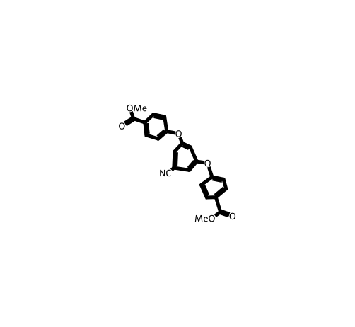 COC(=O)c1ccc(Oc2cc(C#N)cc(Oc3ccc(C(=O)OC)cc3)c2)cc1